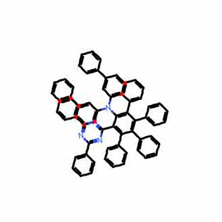 c1ccc(-c2cccc(N(c3cccc(-c4ccccc4)c3)c3c(-c4ccccc4)c(-c4ccccc4)c(-c4ccccc4)c(-c4ccccc4)c3-c3nc(-c4ccccc4)nc(-c4ccccc4)n3)c2)cc1